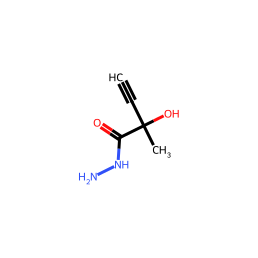 C#CC(C)(O)C(=O)NN